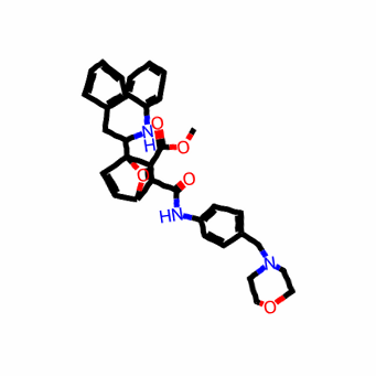 COC(=O)C1=C(C(=O)Nc2ccc(CN3CCOCC3)cc2)C2C=CC1(C(Cc1ccccc1)Nc1ccccc1)O2